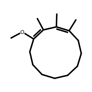 COC1=C(C)C(C)=C(C)CCCCCCCC1